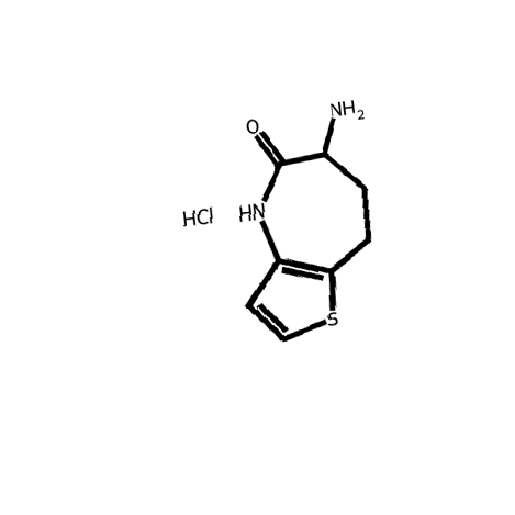 Cl.NC1CCc2sccc2NC1=O